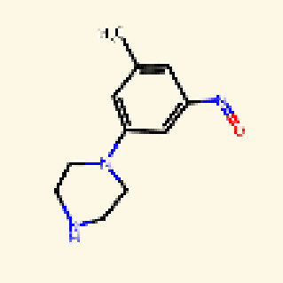 Cc1cc(N=O)cc(N2CCNCC2)c1